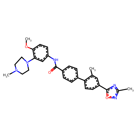 COc1ccc(NC(=O)c2ccc(-c3ccc(-c4nc(C)no4)cc3C)cc2)cc1N1CCN(C)CC1